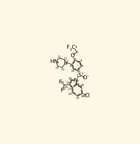 [O-][S+](c1ccc(OCC(F)(F)F)c(N2CCNCC2)c1)n1cc(C(F)F)c2ccc(Cl)cc21